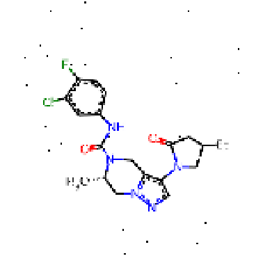 CCC1CC(=O)N(c2cnn3c2CN(C(=O)Nc2ccc(F)c(Cl)c2)[C@@H](C)C3)C1